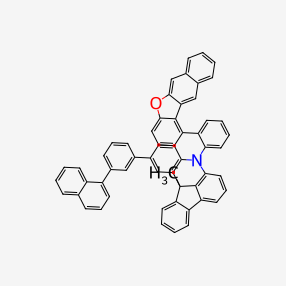 CC12c3ccccc3-c3cccc(c31)N(c1ccccc1-c1cccc3oc4cc5ccccc5cc4c13)c1ccc(-c3cccc(-c4cccc5ccccc45)c3)cc12